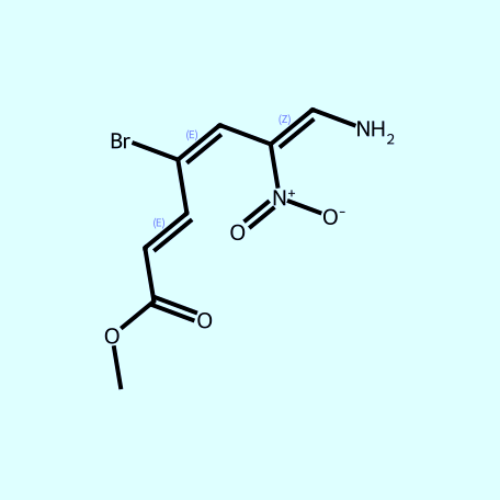 COC(=O)/C=C/C(Br)=C\C(=C\N)[N+](=O)[O-]